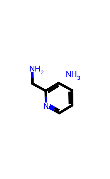 N.NCc1ccccn1